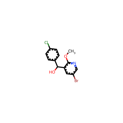 COc1ncc(Br)cc1C(O)c1ccc(Cl)cc1